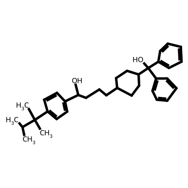 CC(C)C(C)(C)c1ccc(C(O)CCCC2CCC(C(O)(c3ccccc3)c3ccccc3)CC2)cc1